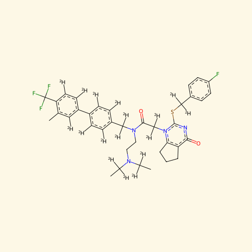 [2H]c1c([2H])c(C([2H])([2H])N(CCN(C([2H])([2H])C)C([2H])([2H])C)C(=O)C([2H])([2H])n2c(SC([2H])([2H])c3ccc(F)cc3)nc(=O)c3c2CCC3)c([2H])c([2H])c1-c1c([2H])c([2H])c(C(F)(F)F)c(C)c1[2H]